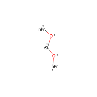 CCCO[Si]OCCC